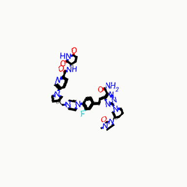 CN1CCN([C@@H]2CCCN(c3nnc(C(N)=O)c(CCc4ccc(N5CCN(C[C@@H]6CCN(c7ccc(C(=O)N[C@H]8CCC(=O)NC8=O)nc7)C6)CC5)c(F)c4)n3)C2)C1=O